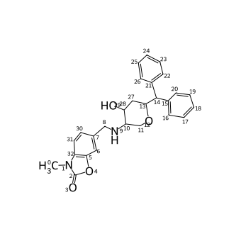 Cn1c(=O)oc2cc(CNC3COC(C(c4ccccc4)c4ccccc4)CC3O)ccc21